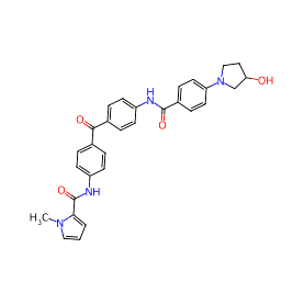 Cn1cccc1C(=O)Nc1ccc(C(=O)c2ccc(NC(=O)c3ccc(N4CCC(O)C4)cc3)cc2)cc1